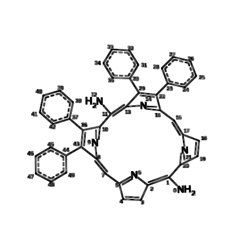 NC1=C2C=CC(=N2)C=C2N=C(C(N)=C3N=C(C=C4C=CC1=N4)C(c1ccccc1)=C3c1ccccc1)C(c1ccccc1)=C2c1ccccc1